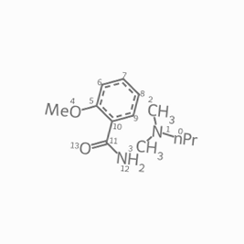 CCCN(C)C.COc1ccccc1C(N)=O